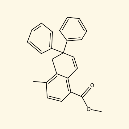 COC(=O)c1ccc(C)c2c1C=CC(c1ccccc1)(c1ccccc1)C2